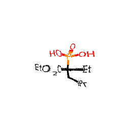 CCOC(=O)C(CC)(CC(C)C)P(=O)(O)O